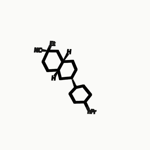 CCCC1CCC([C@H]2CC[C@@H]3C[C@](C#N)(CC)CC[C@@H]3C2)CC1